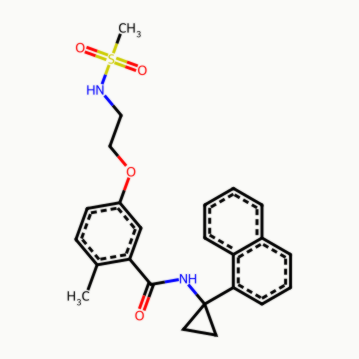 Cc1ccc(OCCNS(C)(=O)=O)cc1C(=O)NC1(c2cccc3ccccc23)CC1